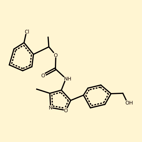 Cc1noc(-c2ccc(CO)cc2)c1NC(=O)OC(C)c1ccccc1Cl